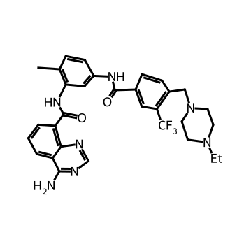 CCN1CCN(Cc2ccc(C(=O)Nc3ccc(C)c(NC(=O)c4cccc5c(N)ncnc45)c3)cc2C(F)(F)F)CC1